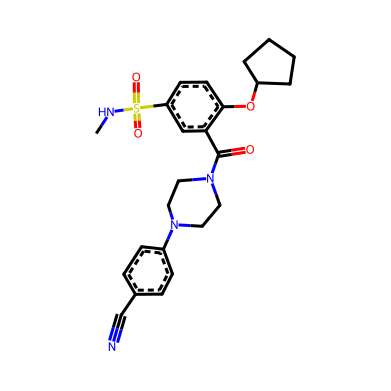 CNS(=O)(=O)c1ccc(OC2CCCC2)c(C(=O)N2CCN(c3ccc(C#N)cc3)CC2)c1